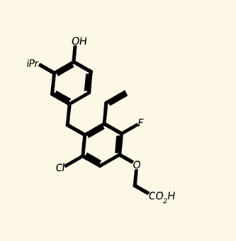 C=Cc1c(F)c(OCC(=O)O)cc(Cl)c1Cc1ccc(O)c(C(C)C)c1